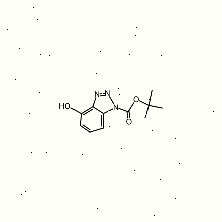 CC(C)(C)OC(=O)n1nnc2c(O)cccc21